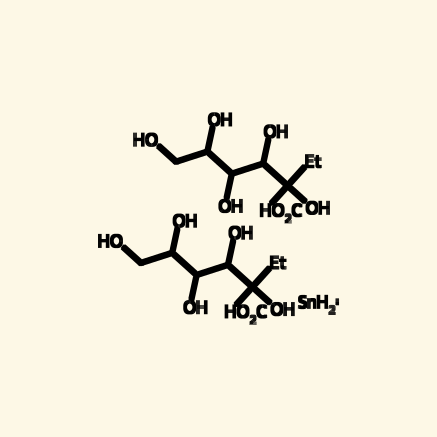 CCC(O)(C(=O)O)C(O)C(O)C(O)CO.CCC(O)(C(=O)O)C(O)C(O)C(O)CO.[SnH2]